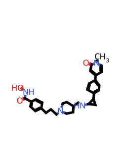 Cn1ccc(-c2ccc(C3CC3NCC3CCN(CCCc4ccc(C(=O)NO)cc4)CC3)cc2)cc1=O